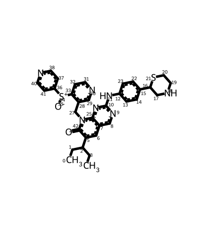 CCC(CC)c1cc2cnc(Nc3ccc(C4CNCCS4)cc3)nc2n(Cc2cnccc2[S+]([O-])c2ccncc2)c1=O